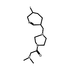 CN(C)CC(=O)N1CCN(CC2C=NCC(I)CC2)CC1